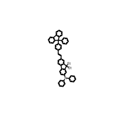 CCC1(CC)c2cc(/C=C/c3ccc(C4(c5ccccc5)c5ccccc5-c5ccccc54)cc3)ccc2-c2ccc(N(c3ccccc3)c3ccccc3)cc21